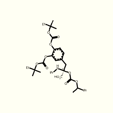 CCC(C)(C)OC(=O)Oc1ccc(C[C@](NC(C)C)(OC(=O)OC(C)C(C)C)C(=O)O)cc1OC(=O)OC(C)(C)CC